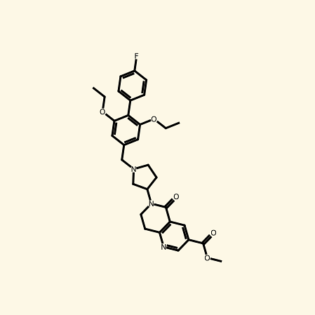 CCOc1cc(CN2CCC(N3CCc4ncc(C(=O)OC)cc4C3=O)C2)cc(OCC)c1-c1ccc(F)cc1